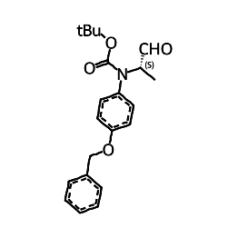 C[C@@H](C=O)N(C(=O)OC(C)(C)C)c1ccc(OCc2ccccc2)cc1